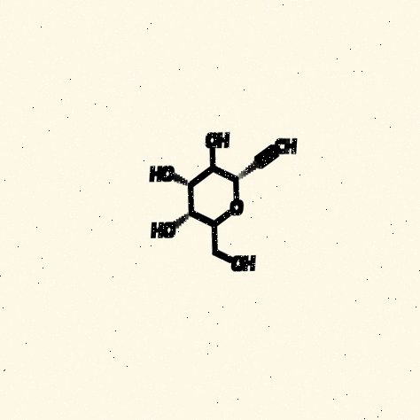 C#C[C@@H]1OC(CO)[C@H](O)[C@H](O)C1O